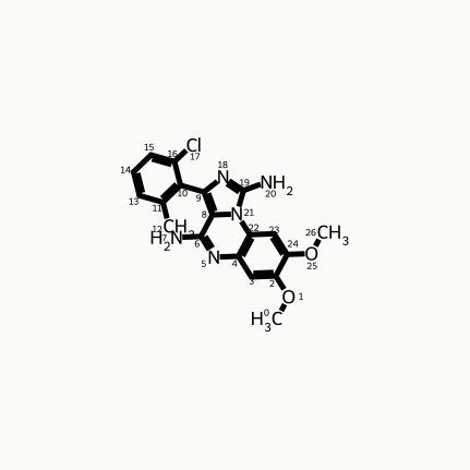 COc1cc2nc(N)c3c(-c4c(C)cccc4Cl)nc(N)n3c2cc1OC